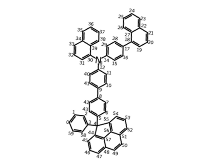 c1ccc(C2(c3ccc(-c4ccc(N(c5ccc(-c6cccc7ccccc67)cc5)c5cccc6ccccc56)cc4)cc3)c3cccc4ccc5cccc2c5c34)cc1